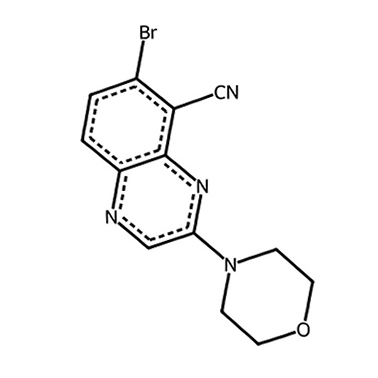 N#Cc1c(Br)ccc2ncc(N3CCOCC3)nc12